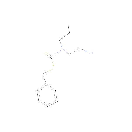 CCCN(CCN)C(=S)SCc1ccccc1